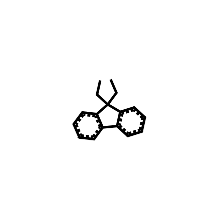 CCC1(CC)c2cc[c]cc2-c2ccccc21